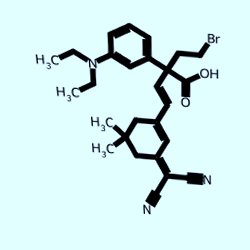 CCN(CC)c1cccc(C(C=CC2=CC(=C(C#N)C#N)CC(C)(C)C2)(CCBr)C(=O)O)c1